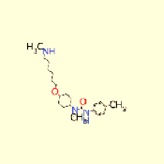 CNCCCCCCO[C@H]1CC[C@H](N(C)C(=O)Nc2ccc(C)cc2)CC1